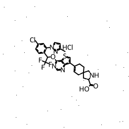 Cc1ccn(-c2cc(Cl)ccc2C(Oc2ncnc3c(C4=CCC5(CC4)CNC(C(=O)O)C5)csc23)C(F)(F)F)n1.Cl